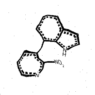 O=[N+]([O-])c1ncccc1-c1cccc2cc[nH]c12